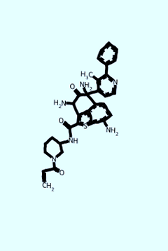 C=CC(=O)N1CCCC(NC(=O)c2sc3c(N)ccc4c3c2C(N)C(=O)C4(N)c2ccnc(-c3ccccc3)c2C)C1